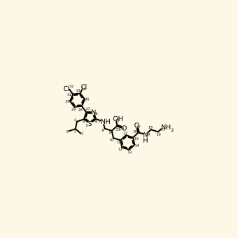 CC(C)Cc1sc(NCC(Cc2cccc(C(=O)NCCN)c2)C(=O)O)nc1-c1ccc(Cl)c(Cl)c1